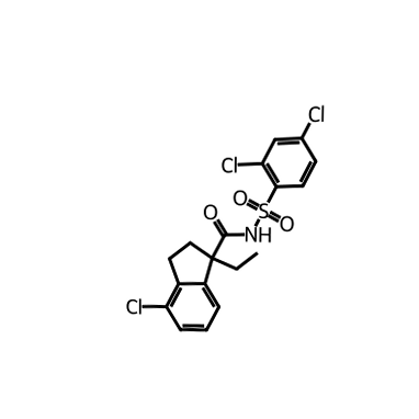 CCC1(C(=O)NS(=O)(=O)c2ccc(Cl)cc2Cl)CCc2c(Cl)cccc21